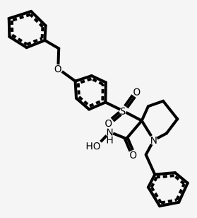 O=C(NO)C1(S(=O)(=O)c2ccc(OCc3ccccc3)cc2)CCCCN1Cc1ccccc1